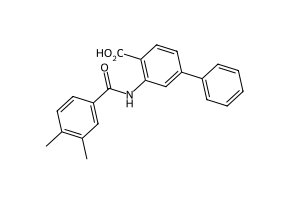 Cc1ccc(C(=O)Nc2cc(-c3ccccc3)ccc2C(=O)O)cc1C